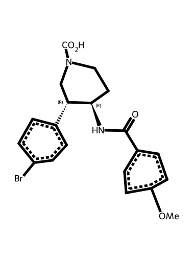 COc1ccc(C(=O)N[C@@H]2CCN(C(=O)O)C[C@H]2c2ccc(Br)cc2)cc1